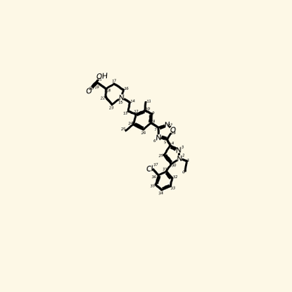 CCn1nc(-c2nc(-c3cc(C)c(CCN4CCC(C(=O)O)CC4)c(C)c3)no2)cc1-c1ccccc1Cl